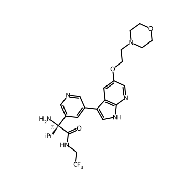 CC(C)[C@](N)(C(=O)NCC(F)(F)F)c1cncc(-c2c[nH]c3ncc(OCCN4CCOCC4)cc23)c1